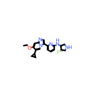 CCOc1cc2ncc(-c3cccc(N[C@H]4CNC[C@@H]4F)n3)n2cc1C1CC1